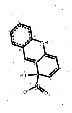 CC1([N+](=O)[O-])C=CC=C2Nc3ccccc3C=C21